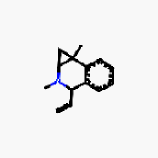 C=CC1c2ccccc2C2(C)CC2N1C